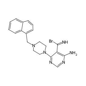 N=C(Br)c1c(N)ncnc1N1CCN(Cc2cccc3ccccc23)CC1